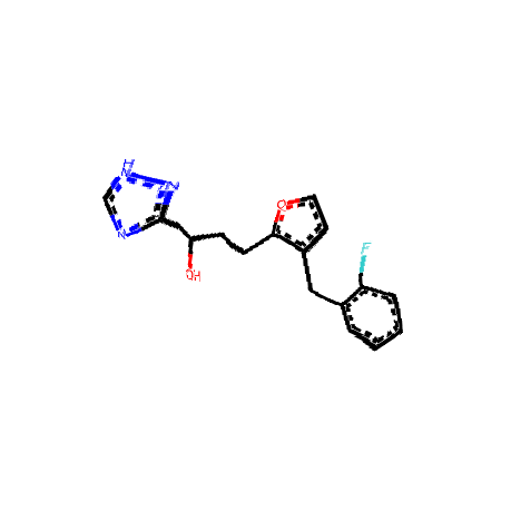 OC(CCc1occc1Cc1ccccc1F)c1nc[nH]n1